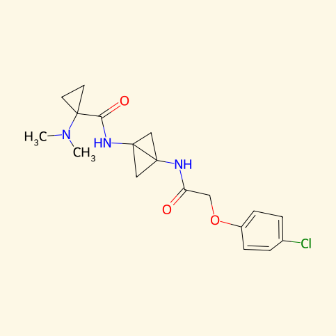 CN(C)C1(C(=O)NC23CC2(NC(=O)COc2ccc(Cl)cc2)C3)CC1